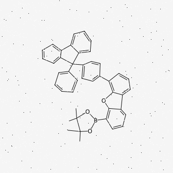 CC1(C)OB(c2cccc3c2oc2c(-c4ccc(C5(c6ccccc6)c6ccccc6-c6ccccc65)cc4)cccc23)OC1(C)C